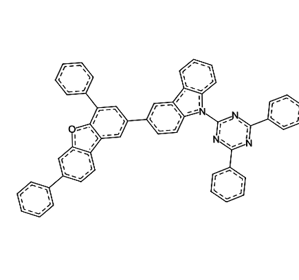 c1ccc(-c2ccc3c(c2)oc2c(-c4ccccc4)cc(-c4ccc5c(c4)c4ccccc4n5-c4nc(-c5ccccc5)nc(-c5ccccc5)n4)cc23)cc1